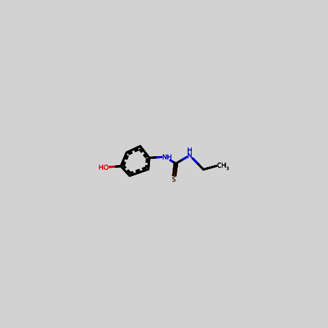 CCNC(=S)Nc1ccc(O)cc1